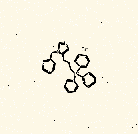 [Br-].c1ccc(Cn2cncc2CCC[P+](c2ccccc2)(c2ccccc2)c2ccccc2)cc1